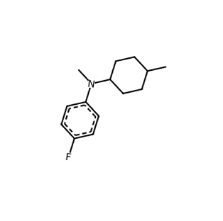 CC1CCC(N(C)c2ccc(F)cc2)CC1